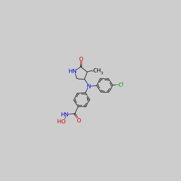 CC1C(=O)NCC1N(c1ccc(Cl)cc1)c1ccc(C(=O)NO)cc1